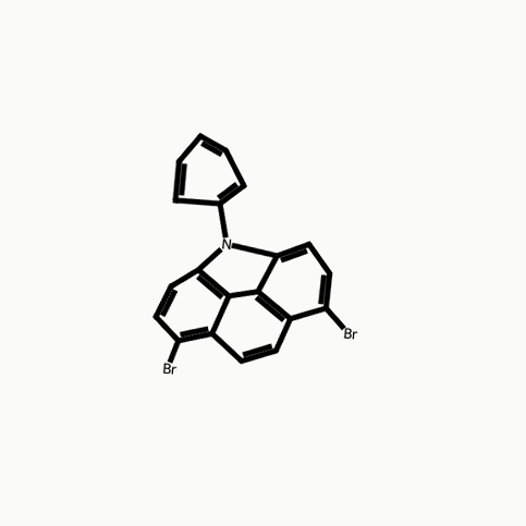 Brc1ccc2c3c1ccc1c(Br)ccc(c13)n2-c1ccccc1